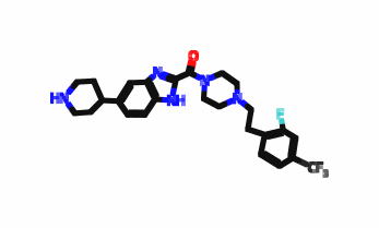 O=C(c1nc2cc(C3CCNCC3)ccc2[nH]1)N1CCN(CCc2ccc(C(F)(F)F)cc2F)CC1